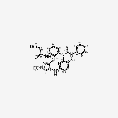 Cn1cc(Nc2ncc3c(n2)N(c2cccc(NC(=O)OC(C)(C)C)c2)C(=S)N(c2ccccc2)C3)c(Cl)n1